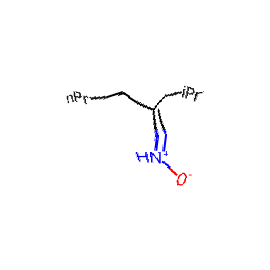 CCCCC(=[NH+][O-])C(C)C